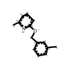 Cc1cccc(COc2cccc(C)n2)c1